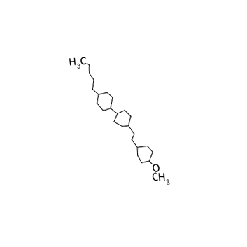 CCCCCC1CCC(C2CCC(CCC3CCC(OC)CC3)CC2)CC1